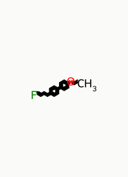 CCCOc1ccc(-c2ccc(CCC=CF)cc2)cc1